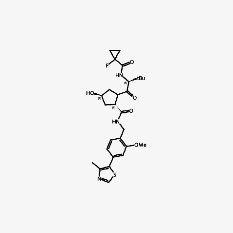 COc1cc(-c2scnc2C)ccc1CNC(=O)[C@@H]1C[C@@H](O)CC1C(=O)[C@@H](NC(=O)C1(F)CC1)C(C)(C)C